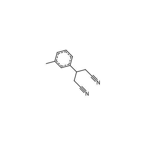 Cc1cccc(C(CC#N)CC#N)c1